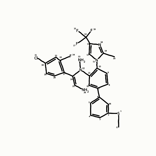 CSc1cccc(-c2ccc(-n3cc(C(F)(F)F)nc3C)c(N(N)/C(=C\N)c3ccc(Cl)cc3F)c2)c1